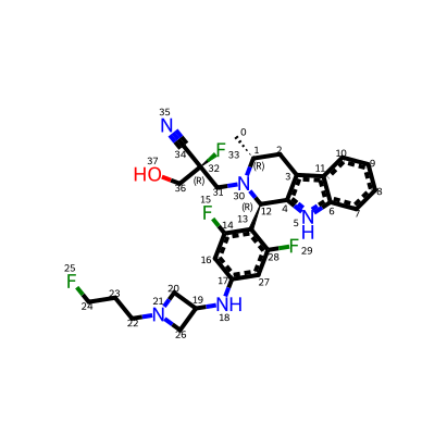 C[C@@H]1Cc2c([nH]c3ccccc23)[C@@H](c2c(F)cc(NC3CN(CCCF)C3)cc2F)N1C[C@@](F)(C#N)CO